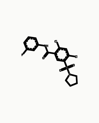 O=C(Nc1cccc(F)c1)c1cc(S(=O)(=O)N2CCCC2)c(Cl)cc1Cl